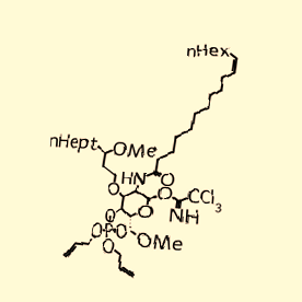 C=CCOP(=O)(OCC=C)O[C@H]1C(OCC[C@@H](CCCCCCC)OC)[C@@H](NC(=O)CCCCCCCCC/C=C\CCCCCC)[C@@H](OC(=N)C(Cl)(Cl)Cl)O[C@@H]1COC